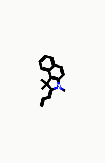 C=C/C=C1/N(C)c2ccc3ccccc3c2C1(C)C